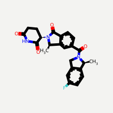 C[C@@H]1c2cc(C(=O)N3Cc4cc(F)ccc4[C@@H]3C)ccc2C(=O)N1[C@H]1CCC(=O)NC1=O